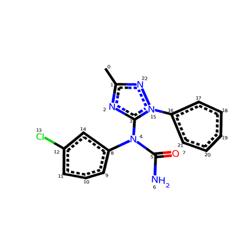 Cc1nc(N(C(N)=O)c2cccc(Cl)c2)n(-c2ccccc2)n1